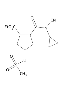 CCOC(=O)C1CC(OS(C)(=O)=O)CC1C(=O)N(C#N)C1CC1